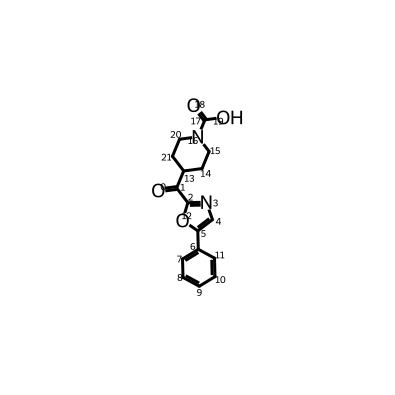 O=C(c1ncc(-c2ccccc2)o1)C1CCN(C(=O)O)CC1